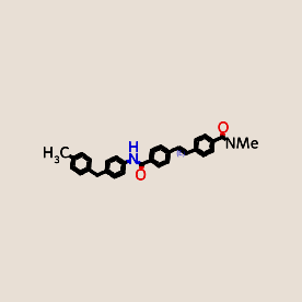 CNC(=O)c1ccc(/C=C/c2ccc(C(=O)Nc3ccc(Cc4ccc(C)cc4)cc3)cc2)cc1